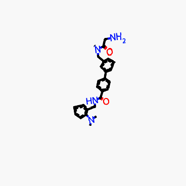 CN(Cc1cccc(-c2ccc(C(=O)NCc3ccccc3N(C)C)cc2)c1)C(=O)CN